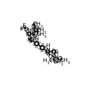 COC(=O)N[C@H](C(=O)N1CCC[C@H]1c1ncc(-c2ccc(-c3ccc(-c4cnc([C@@H]5C[C@H](COC(F)F)CN5C(=O)[C@@H](NC(=O)OC)C(C)C)[nH]4)cc3)cc2)[nH]1)C(C)C